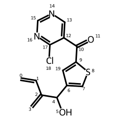 C=CC(=C)C(O)c1csc(C(=O)c2cncnc2Cl)c1